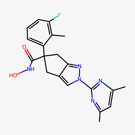 Cc1cc(C)nc(-n2cc3c(n2)CC(C(=O)NO)(c2cccc(F)c2C)C3)n1